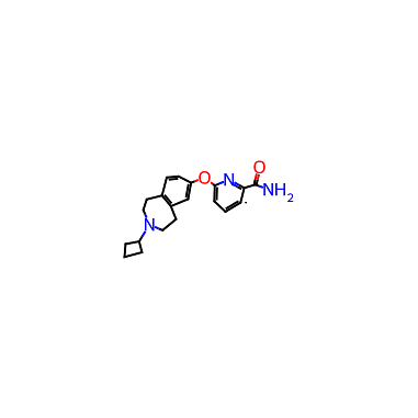 NC(=O)c1[c]ccc(Oc2ccc3c(c2)CCN(C2CCC2)CC3)n1